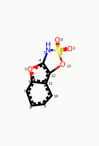 O=S1(=O)Nc2oc3ccccc3c2O1